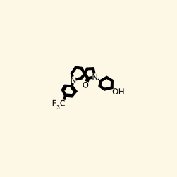 O=C1N([C@H]2CC[C@H](O)CC2)CCC12CCCN(c1ccc(C(F)(F)F)cc1)C2